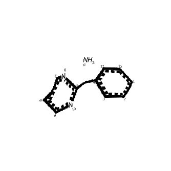 N.c1ccc(-c2ncccn2)cc1